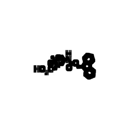 CC(CN(CC(=O)O)S(C)(=O)=O)NC(=O)OCC1c2ccccc2-c2ccccc21